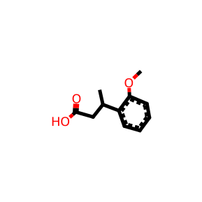 COc1ccccc1C(C)CC(=O)O